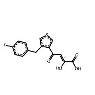 O=C(O)/C(O)=C/C(=O)c1cscc1Cc1ccc(F)cc1